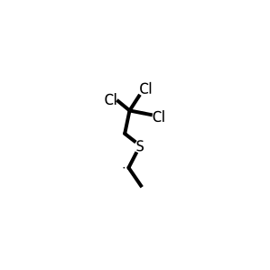 C[CH]SCC(Cl)(Cl)Cl